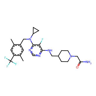 Cc1cc(C(F)(F)F)c(C)cc1CN(c1ncnc(NCC2CCN(CC(N)=O)CC2)c1F)C1CC1